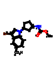 CC(C)(C)OC(=O)N[C@@H]1CCC(n2cc(Br)c3cc(C(=O)O)ccc32)C1